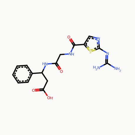 NC(N)=Nc1ncc(C(=O)NCC(=O)NC(CC(=O)O)c2ccccc2)s1